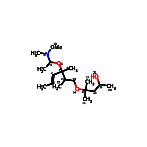 CC=CC(C)(OC(C)N(C)OC)C(C)COC(C)(C)CC(C)O